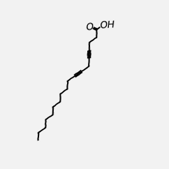 CCCCCCCCCCC#CCC#CCCC(=O)O